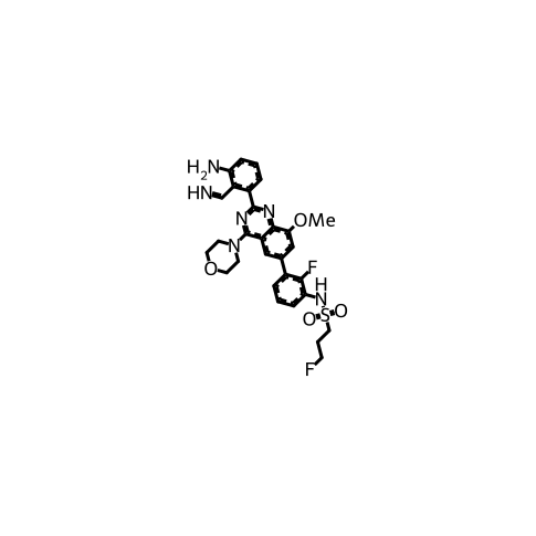 COc1cc(-c2cccc(NS(=O)(=O)CCCF)c2F)cc2c(N3CCOCC3)nc(-c3cccc(N)c3C=N)nc12